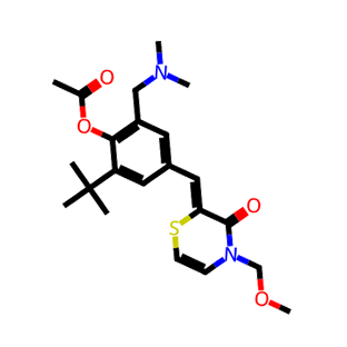 COCN1C=CSC(=Cc2cc(CN(C)C)c(OC(C)=O)c(C(C)(C)C)c2)C1=O